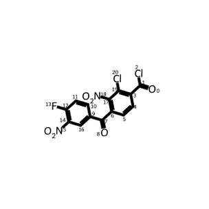 O=C(Cl)c1ccc(C(=O)c2ccc(F)c([N+](=O)[O-])c2)c([N+](=O)[O-])c1Cl